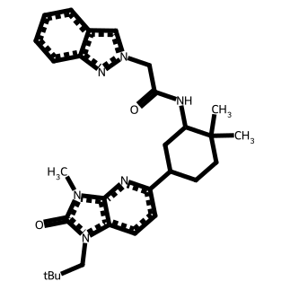 Cn1c(=O)n(CC(C)(C)C)c2ccc(C3CCC(C)(C)C(NC(=O)Cn4cc5ccccc5n4)C3)nc21